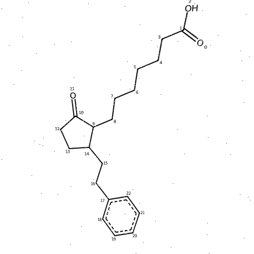 O=C(O)CCCCCCC1C(=O)CCC1CCc1ccccc1